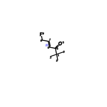 CC(C)(C)C(=O)/C=C/CF